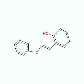 Oc1ccccc1C=COc1ccccc1